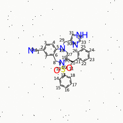 N#Cc1ccc2c(c1)CN(S(=O)(=O)c1ccccc1)[C@H](Cc1ccccc1)CN2Cc1c[nH]cn1